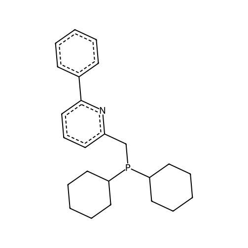 c1ccc(-c2cccc(CP(C3CCCCC3)C3CCCCC3)n2)cc1